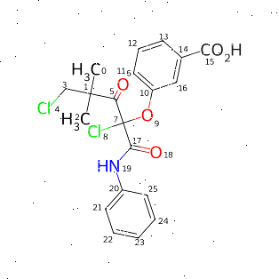 CC(C)(CCl)C(=O)C(Cl)(Oc1cccc(C(=O)O)c1)C(=O)Nc1ccccc1